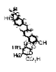 CC(Cc1ccc(O)c(O[C@@H]2O[C@H](C(=O)O)[C@@H](O)[C@H](O)[C@H]2O)c1)C(C)Cc1ccc(O)c(OS(C)(=O)=O)c1